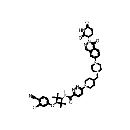 CC1(C)[C@H](NC(=O)c2ccc(N3CCC(CN4CCN(c5ccc6c(=O)n([C@H]7CCC(=O)NC7=O)ncc6c5)CC4)CC3)nn2)C(C)(C)[C@H]1Oc1ccc(C#N)c(Cl)c1